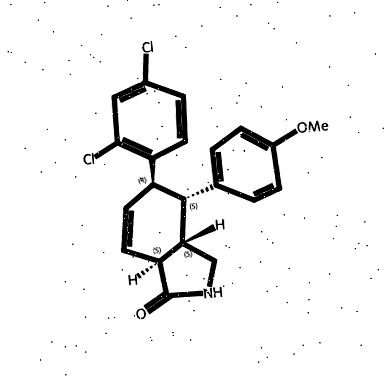 COc1ccc([C@@H]2[C@@H]3CNC(=O)[C@H]3C=C[C@H]2c2ccc(Cl)cc2Cl)cc1